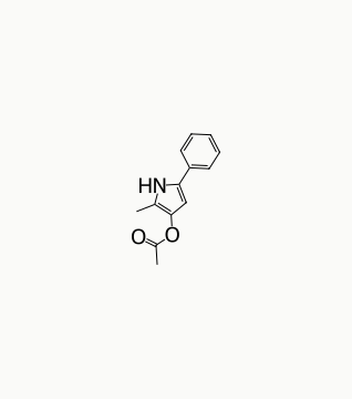 CC(=O)Oc1cc(-c2ccccc2)[nH]c1C